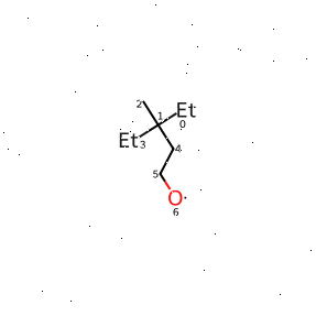 CCC(C)(CC)CC[O]